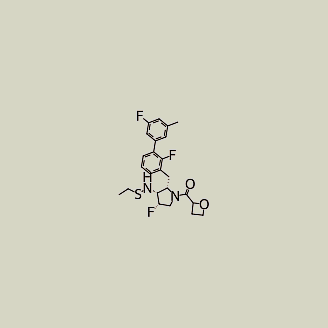 CCSN[C@H]1[C@@H](F)CN(C(=O)C2CCO2)[C@H]1Cc1cccc(-c2cc(C)cc(F)c2)c1F